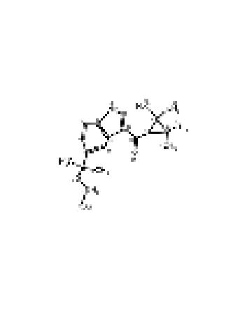 CC(C)(C)[SiH2]OC(C)(C)c1ccc2[nH]cc(C(=O)C3C(C)(C)C3(C)C)c2c1